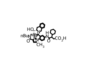 CCCCN(CCCC)C(=O)c1cc(C)n(-c2ccc(NC(=O)C(CC(=O)O)C3CCCCC3)cc2C(=O)N2Cc3ccccc3C[C@H]2CO)n1